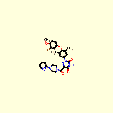 COc1ccc(Oc2c(C)cc(-n3nc(C(=O)N4CCN(c5ccccn5)CC4)c(=O)[nH]c3=O)cc2C)cc1Br